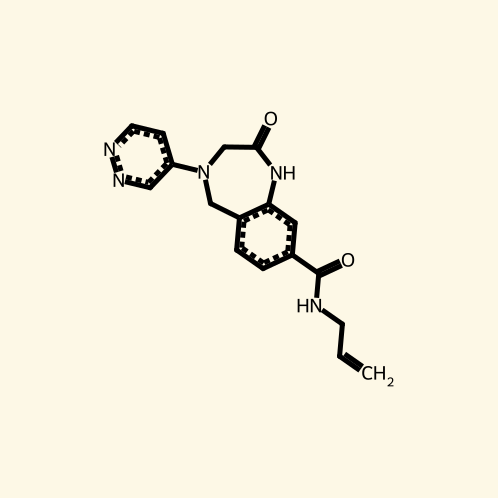 C=CCNC(=O)c1ccc2c(c1)NC(=O)CN(c1ccnnc1)C2